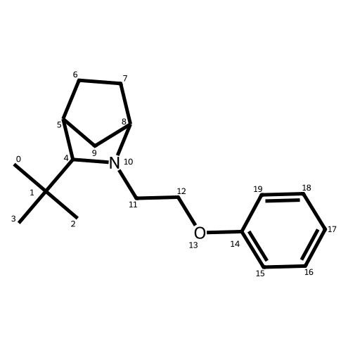 CC(C)(C)C1C2CCC(C2)N1CCOc1ccccc1